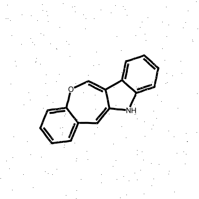 C1=c2[nH]c3ccccc3c2=COc2ccccc21